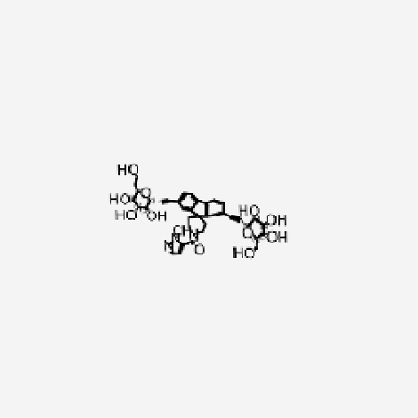 Cn1nccc1C(=O)N1CCC2(CC1)c1cc(C#C[C@H]3O[C@H](CO)[C@@H](O)[C@H](O)[C@@H]3O)ccc1-c1ccc(C#C[C@H]3O[C@H](CCO)[C@@H](O)[C@H](O)[C@@H]3O)cc12